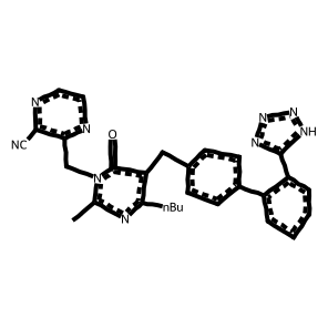 CCCCc1nc(C)n(Cc2nccnc2C#N)c(=O)c1Cc1ccc(-c2ccccc2-c2nnn[nH]2)cc1